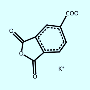 O=C([O-])c1ccc2c(c1)C(=O)OC2=O.[K+]